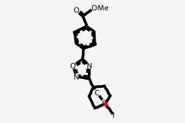 COC(=O)c1ccc(-c2nc(C34CCC(I)(CC3)CC4)no2)cc1